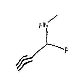 C#CC(F)NC